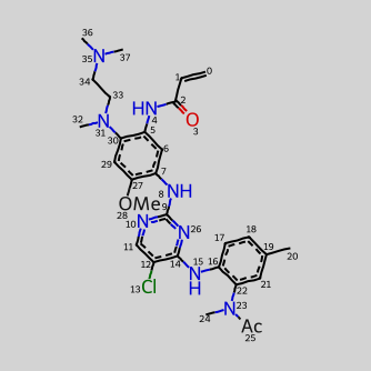 C=CC(=O)Nc1cc(Nc2ncc(Cl)c(Nc3ccc(C)cc3N(C)C(C)=O)n2)c(OC)cc1N(C)CCN(C)C